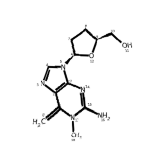 C=C1c2ncn([C@H]3CC[C@@H](CO)O3)c2N=C(N)N1C